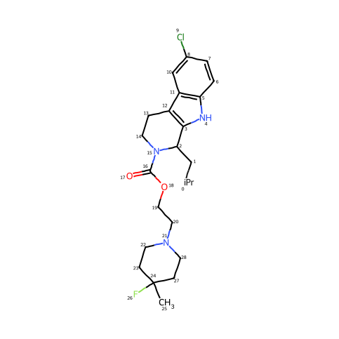 CC(C)CC1c2[nH]c3ccc(Cl)cc3c2CCN1C(=O)OCCN1CCC(C)(F)CC1